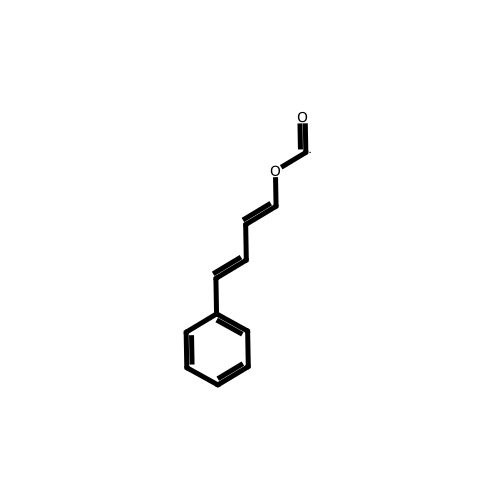 O=[C]O/C=C/C=C/c1ccccc1